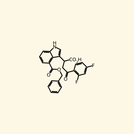 O=C(CC(C(=O)O)c1c[nH]c2cccc(C(=O)OCc3ccccc3)c12)c1ccc(F)cc1F